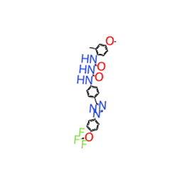 COc1ccc(NC(=O)NC(=O)Nc2ccc(-c3ncn(-c4ccc(OC(F)(F)F)cc4)n3)cc2)c(C)c1